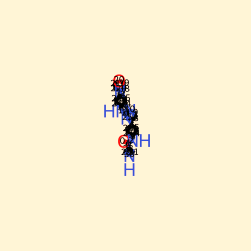 O=C(Nc1ccc(-c2ccnc(Nc3ccc(N4CCOCC4)cc3)n2)cc1)C1CNC1